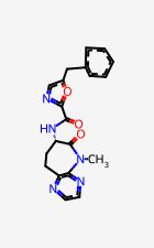 CN1C(=O)[C@@H](NC(=O)c2ncc(Cc3ccccc3)o2)CCc2nccnc21